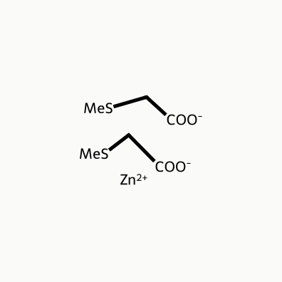 CSCC(=O)[O-].CSCC(=O)[O-].[Zn+2]